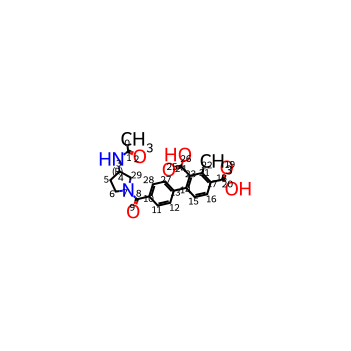 CC(=O)N[C@@H]1CCN(C(=O)c2ccc(-c3ccc(C(=O)O)c(C)c3C(=O)O)cc2)C1